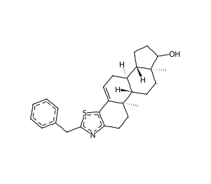 C[C@]12CCc3nc(Cc4ccccc4)sc3C1=CC[C@@H]1[C@@H]2CC[C@]2(C)C(O)CC[C@@H]12